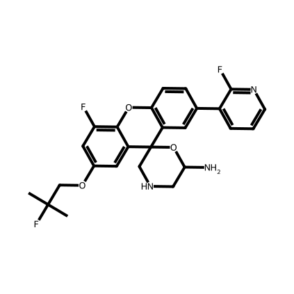 CC(C)(F)COc1cc(F)c2c(c1)C1(CNCC(N)O1)c1cc(-c3cccnc3F)ccc1O2